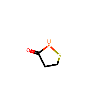 O=C1CCSP1